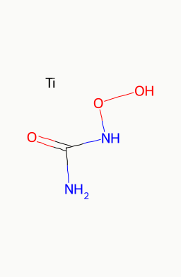 NC(=O)NOO.[Ti]